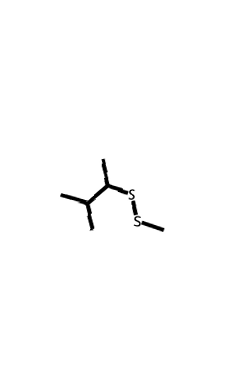 CSSC(C)C(C)C